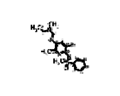 CCN(C)C=Nc1cc(Br)c(N=S(C)(=O)c2ccccc2)nc1C